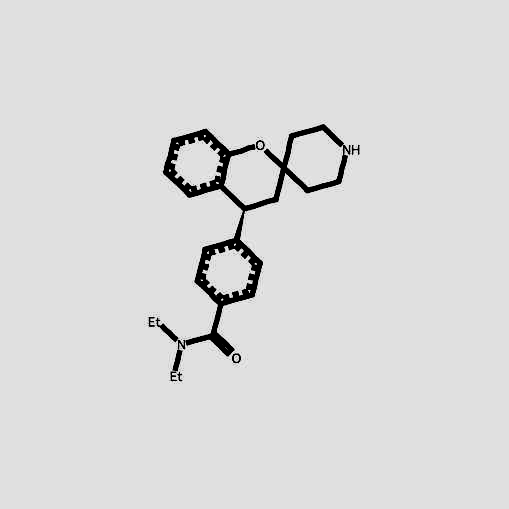 CCN(CC)C(=O)c1ccc([C@@H]2CC3(CCNCC3)Oc3ccccc32)cc1